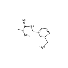 CN(N)C(=N)NCc1cccc(CN)c1